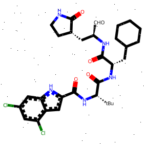 CC(C)(C)[C@H](NC(=O)c1cc2c(Cl)cc(Cl)cc2[nH]1)C(=O)N[C@@H](CC1CCCCC1)C(=O)N[C@H](C=O)C[C@@H]1CCNC1=O